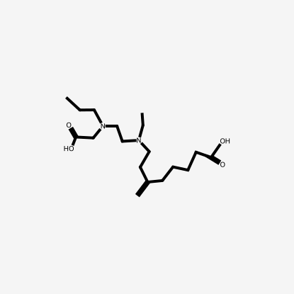 C=C(CCCCC(=O)O)CCN(CC)CCN(CCC)CC(=O)O